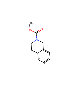 CCCCOC(=O)N1CCc2c[c]ccc2C1